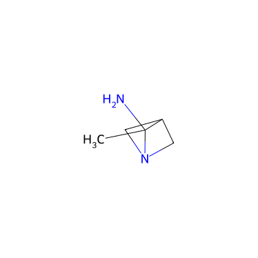 CC1(N)C2CN1C2